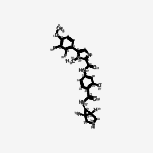 COc1ccc(-c2cnc(C(=O)Nc3ccc(C(=O)N[C@H]4[C@@H]5CNC[C@@H]54)c(Cl)c3)n2C)c(F)c1F